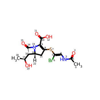 CC(=O)NC=C(Br)SC1=C(C(=O)O)N2C(=O)[C@@H]([C@H](C)O)[C@H]2C1